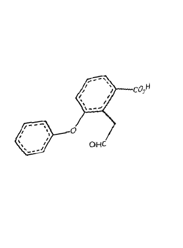 O=CCc1c(Oc2ccccc2)cccc1C(=O)O